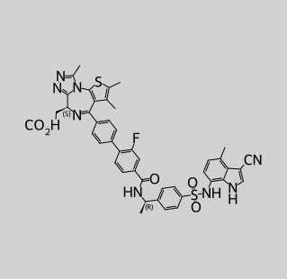 Cc1sc2c(c1C)C(c1ccc(-c3ccc(C(=O)N[C@H](C)c4ccc(S(=O)(=O)Nc5ccc(C)c6c(C#N)c[nH]c56)cc4)cc3F)cc1)=N[C@@H](CC(=O)O)c1nnc(C)n1-2